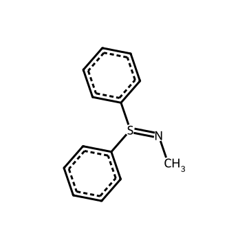 CN=S(c1ccccc1)c1ccccc1